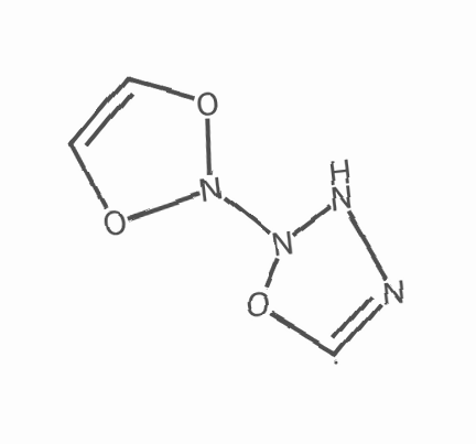 [C]1=NNN(N2OC=CO2)O1